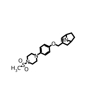 CS(=O)(=O)N1CCN(c2ccc(OCC3CC4CCC(C3)N4)cc2)CC1